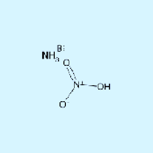 N.O=[N+]([O-])O.[B]